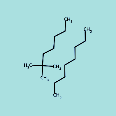 CCCCCC(C)(C)C.CCCCCCCC